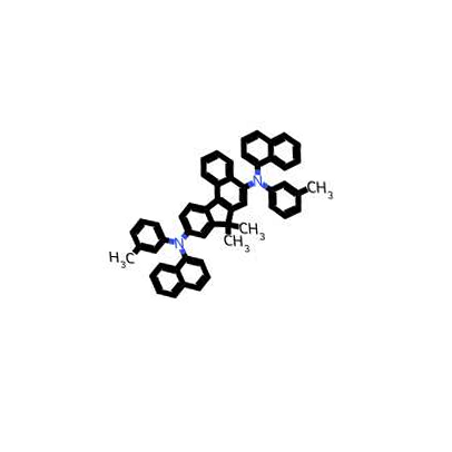 Cc1cccc(N(c2ccc3c(c2)C(C)(C)c2cc(N(c4cccc(C)c4)c4cccc5ccccc45)c4ccccc4c2-3)c2cccc3ccccc23)c1